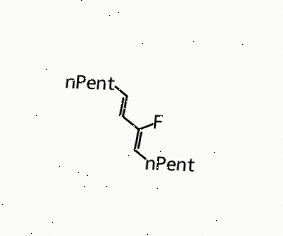 CCCCCC=CC(F)=CCCCCC